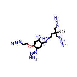 [N-]=[N+]=NCCOC1=CC(=N)/C(=C\NCCC(CN=[N+]=[N-])(CN=[N+]=[N-])N=O)C=C1N=NN